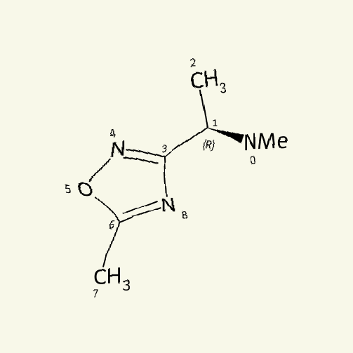 CN[C@H](C)c1noc(C)n1